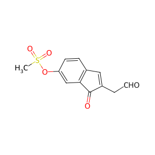 CS(=O)(=O)Oc1ccc2c(c1)C(=O)C(CC=O)=C2